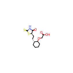 O=C(O)CO[C@H]1CCCC[C@@H]1CC[C@H]1SC(=S)NC1=O